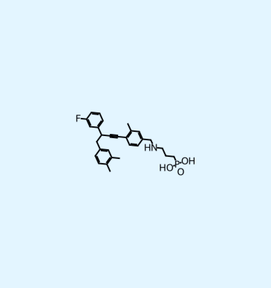 Cc1ccc(CC(C#Cc2ccc(CNCCCP(=O)(O)O)cc2C)c2cccc(F)c2)cc1C